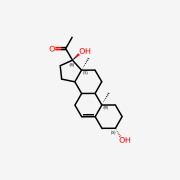 CC(=O)[C@@]1(O)CCC2C3CC=C4C[C@@H](O)CC[C@]4(C)C3CC[C@@]21C